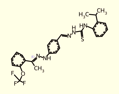 C/C(=N\Nc1ccc(C=NNC(=S)Nc2ccccc2C(C)C)cc1)c1ccccc1OC(F)(F)F